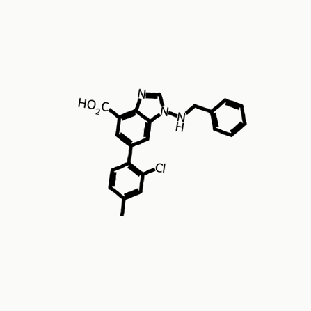 Cc1ccc(-c2cc(C(=O)O)c3ncn(NCc4ccccc4)c3c2)c(Cl)c1